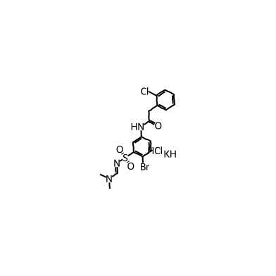 CN(C)C=NS(=O)(=O)c1cc(NC(=O)Cc2ccccc2Cl)ccc1Br.Cl.[KH]